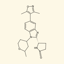 Cc1noc(C)c1-c1ccc2c(c1)nc([C@@H]1CCC(=O)N1)n2C1CCOC(C)C1